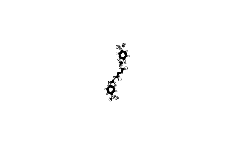 O=C(CCC(=O)Sc1nc2ccc([N+](=O)[O-])cc2s1)Sc1nc2ccc([N+](=O)[O-])cc2s1